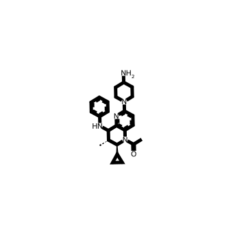 CC(=O)N1c2ccc(N3CCC(N)CC3)nc2C(Nc2ccccc2)[C@@H](C)[C@@H]1C1CC1